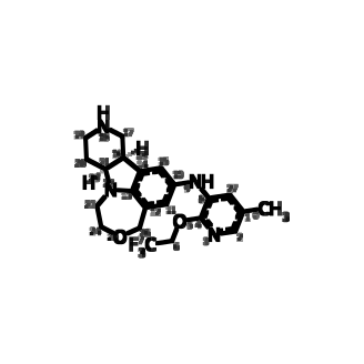 Cc1cnc(OCC(F)(F)F)c(Nc2cc3c4c(c2)[C@@H]2CNCC[C@@H]2N4CCOC3)c1